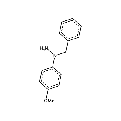 COc1ccc(N(N)Cc2ccccc2)cc1